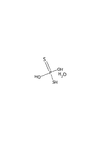 O.OP(O)(=S)S